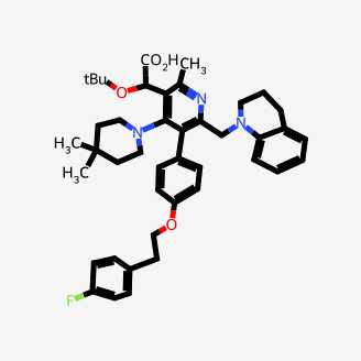 Cc1nc(CN2CCCc3ccccc32)c(-c2ccc(OCCc3ccc(F)cc3)cc2)c(N2CCC(C)(C)CC2)c1C(OC(C)(C)C)C(=O)O